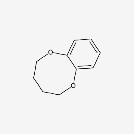 c1ccc2c(c1)OCCCCO2